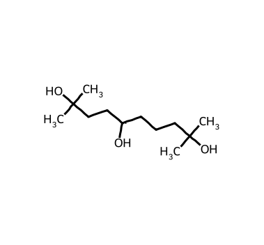 CC(C)(O)CCC[C](O)CCC(C)(C)O